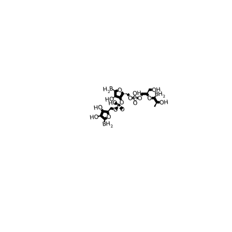 B[C@H](O[C@H](CO)COP(=O)(O)OC[C@H]1O[C@@H](B)[C@@H](O)C1OP(=O)(O)OC[C@H]1O[C@@H](B)[C@@H](O)C1O)[C@H](C)O